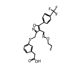 O=C(O)Cc1cccc(SCc2noc(-c3ccc(C(F)(F)F)cc3)c2C=NOCCF)c1